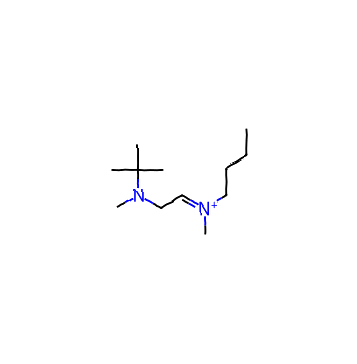 CCCC[N+](C)=CCN(C)C(C)(C)C